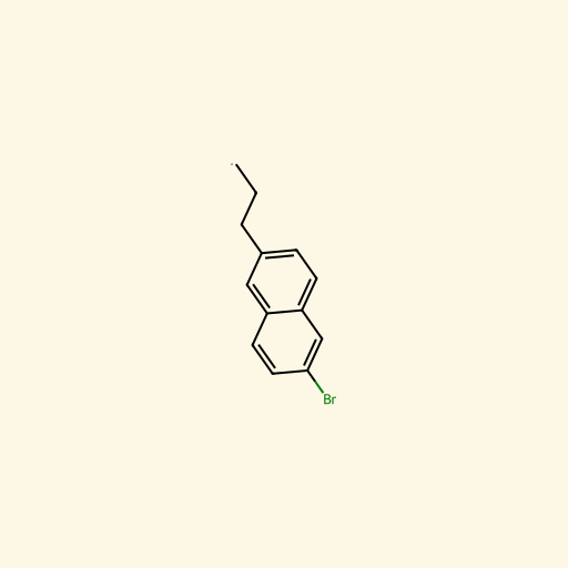 [CH2]CCc1ccc2cc(Br)ccc2c1